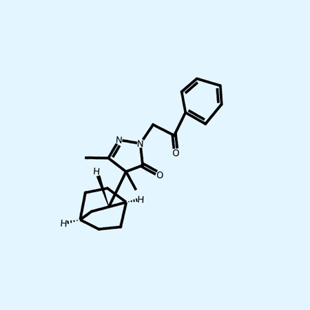 CC1=NN(CC(=O)c2ccccc2)C(=O)C1(C)[C@H]1C[C@H]2CC[C@@H]1CC2